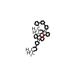 C=C/C=C\C(=C/C)c1ccc(N(C2=C(C3=CC=C(c4ccccc4N(C(/C=C\C)=C/C=C)c4cccc(-c5cccc(-c6ccccc6)c5)c4)CC3)CCC=C2)c2ccccc2)cc1